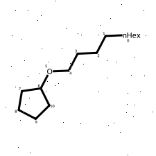 CCCCCCCCCCOC1CCCC1